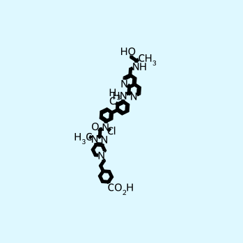 Cc1c(Nc2nccc3cc(CNC(C)CO)cnc23)cccc1-c1cccc(N(Cl)C(=O)c2nc3c(n2C)CCN(CCC2CCC(C(=O)O)CC2)C3)c1